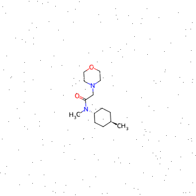 CN(C(=O)CN1CCOCC1)[C@H]1CC[C@H](C)CC1